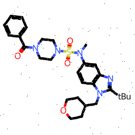 CN(c1ccc2c(c1)nc(C(C)(C)C)n2CC1CCOCC1)S(=O)(=O)N1CCN(C(=O)c2ccccc2)CC1